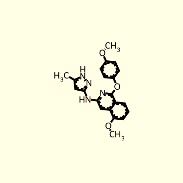 COc1ccc(Oc2nc(Nc3cc(C)[nH]n3)cc3c(OC)cccc23)cc1